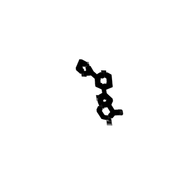 O=C1NCCn2nc(-c3ccnc(-c4nccs4)c3)cc21